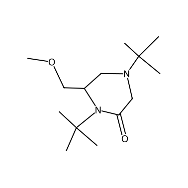 COCC1CN(C(C)(C)C)CC(=O)N1C(C)(C)C